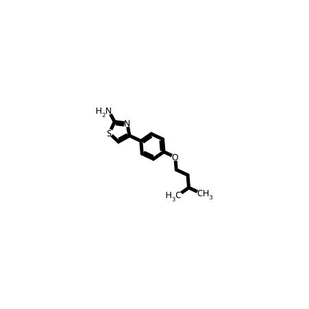 CC(C)CCOc1ccc(-c2csc(N)n2)cc1